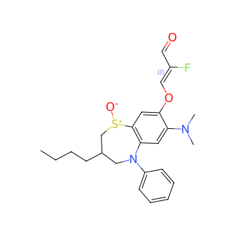 CCCCC1CN(c2ccccc2)c2cc(N(C)C)c(O/C=C(\F)C=O)cc2[S+]([O-])C1